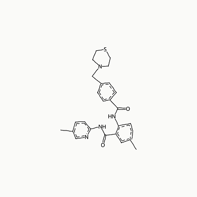 Cc1ccc(NC(=O)c2cc(C)ccc2NC(=O)c2ccc(CN3CCSCC3)cc2)nc1